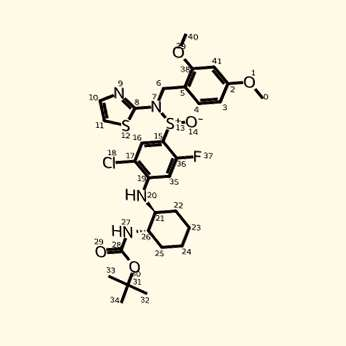 COc1ccc(CN(c2nccs2)[S+]([O-])c2cc(Cl)c(N[C@H]3CCCC[C@@H]3NC(=O)OC(C)(C)C)cc2F)c(OC)c1